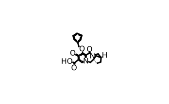 O=C(O)c1cn2c(c(OCc3ccccc3)c1=O)C(=O)N1C[C@@H]3CC[C@]1(C3)C2